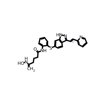 C=C(CCCC(=O)Nc1ccccc1Sc1ccc2c(/C=C/c3ccccn3)n[nH]c2c1)NO